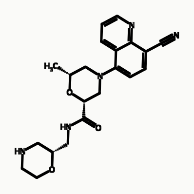 C[C@@H]1CN(c2ccc(C#N)c3ncccc23)C[C@H](C(=O)NC[C@H]2CNCCO2)O1